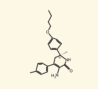 CCCCOc1ccc([C@]2(C)CC(c3ccc(C)cc3)=C(N)C(=O)N2)cc1